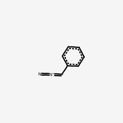 [N-]=[N+]=[C]c1ccccc1